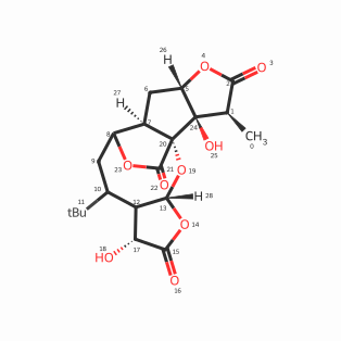 C[C@@H]1C(=O)O[C@H]2C[C@@H]3C4CC(C(C)(C)C)C5[C@@H](OC(=O)[C@@H]5O)O[C@@]3(C(=O)O4)[C@]21O